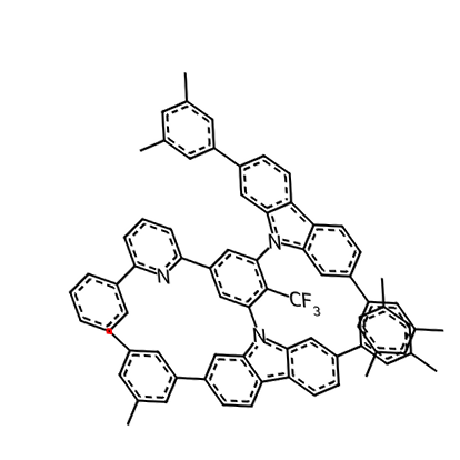 Cc1cc(C)cc(-c2ccc3c4ccc(-c5cc(C)cc(C)c5)cc4n(-c4cc(-c5cccc(-c6ccccc6)n5)cc(-n5c6cc(-c7cc(C)cc(C)c7)ccc6c6ccc(-c7cc(C)cc(C)c7)cc65)c4C(F)(F)F)c3c2)c1